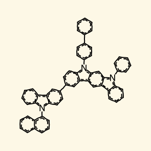 c1ccc(-c2ccc(-n3c4ccc(-c5ccc6c(c5)c5ccccc5n6-c5cccc6ccccc56)cc4c4cc5c6ccccc6n(-c6ccccc6)c5cc43)cc2)cc1